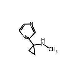 CNC1(c2cnccn2)CC1